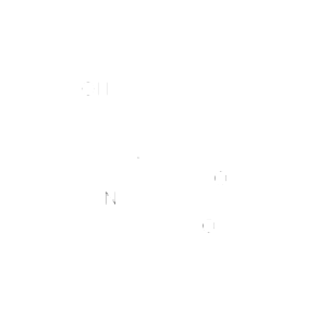 COc1ccc(C2(C#N)CCCC(CO)C2)cc1OC1CCCC1